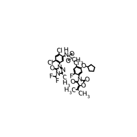 CC(C)=C1OC(=O)N(c2cc(OC3CCCC3)c(Cl)cc2F)C1=O.Cc1nn(-c2cc(NS(C)(=O)=O)c(Cl)cc2Cl)c(=O)n1C(F)F